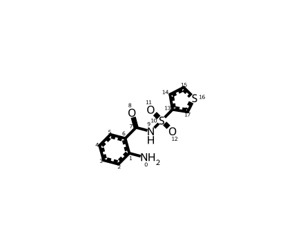 Nc1ccccc1C(=O)NS(=O)(=O)c1ccsc1